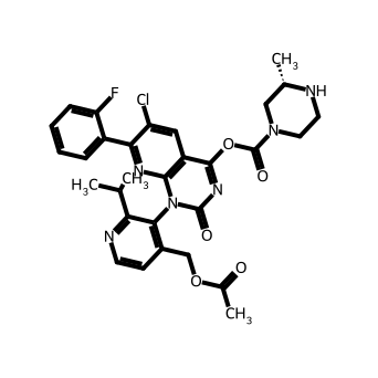 CC(=O)OCc1ccnc(C(C)C)c1-n1c(=O)nc(OC(=O)N2CCN[C@@H](C)C2)c2cc(Cl)c(-c3ccccc3F)nc21